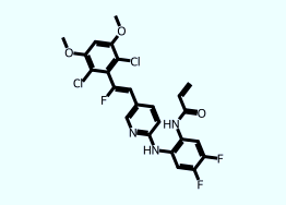 C=CC(=O)Nc1cc(F)c(F)cc1Nc1ccc(/C=C(\F)c2c(Cl)c(OC)cc(OC)c2Cl)cn1